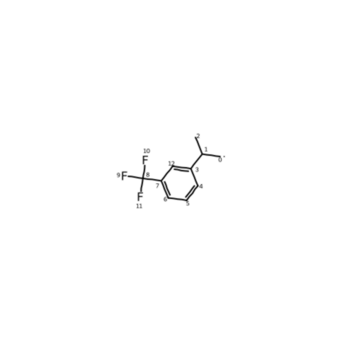 [CH2]C(C)c1cccc(C(F)(F)F)c1